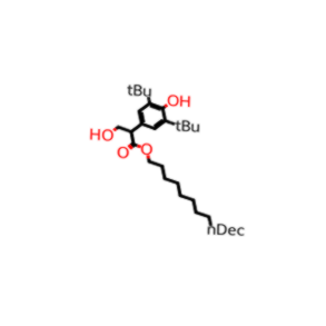 CCCCCCCCCCCCCCCCCCOC(=O)C(CO)c1cc(C(C)(C)C)c(O)c(C(C)(C)C)c1